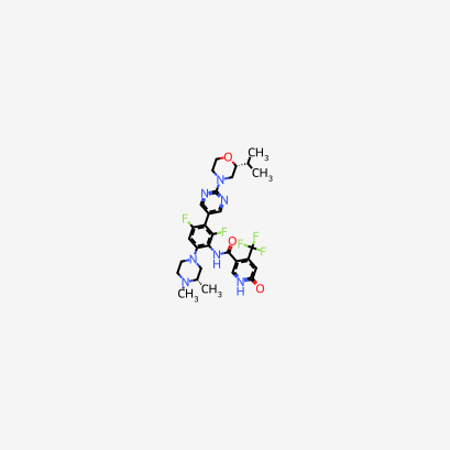 CC(C)[C@@H]1CN(c2ncc(-c3c(F)cc(N4CCN(C)[C@@H](C)C4)c(NC(=O)c4c[nH]c(=O)cc4C(F)(F)F)c3F)cn2)CCO1